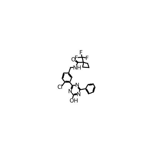 O=C(NCc1ccc(Cl)c(-c2nc(O)nc(-c3ccccc3)n2)c1)C1(C(F)(F)F)CCC1